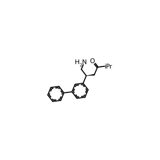 CC(C)C(=O)C[C@H](CN)c1cccc(-c2ccccc2)c1